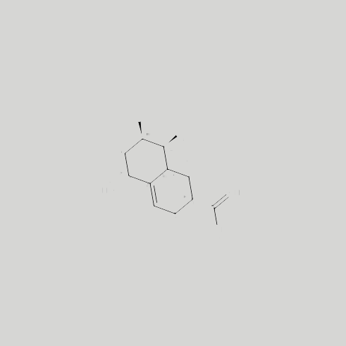 C=C(C)[C@@H]1CC=C2[C@H](O)C[C@@H](O)[C@@H](C)[C@@]2(C)C1